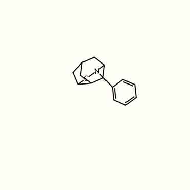 c1ccc(N2CC3CC4CC3CC2C4)cc1